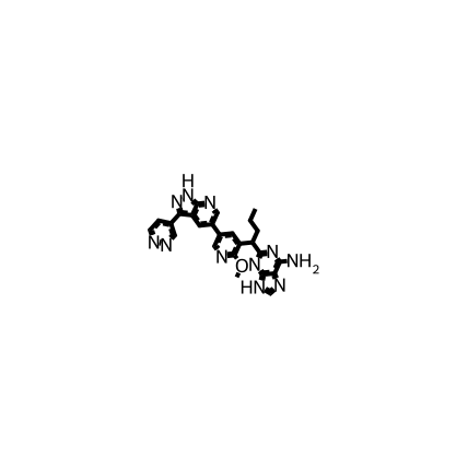 CCCC(c1nc(N)c2nc[nH]c2n1)c1cc(-c2cnc3[nH]nc(-c4ccnnc4)c3c2)cnc1OC